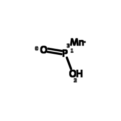 O=PO.[Mn]